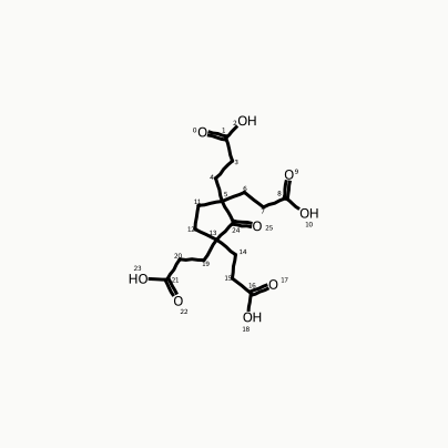 O=C(O)CCC1(CCC(=O)O)CCC(CCC(=O)O)(CCC(=O)O)C1=O